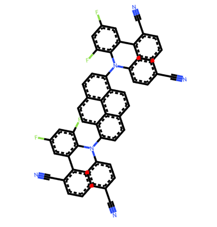 N#Cc1ccc(N(c2c(F)cc(F)cc2-c2ccccc2C#N)c2ccc3ccc4c(N(c5ccc(C#N)cc5)c5c(F)cc(F)cc5-c5ccccc5C#N)ccc5ccc2c3c54)cc1